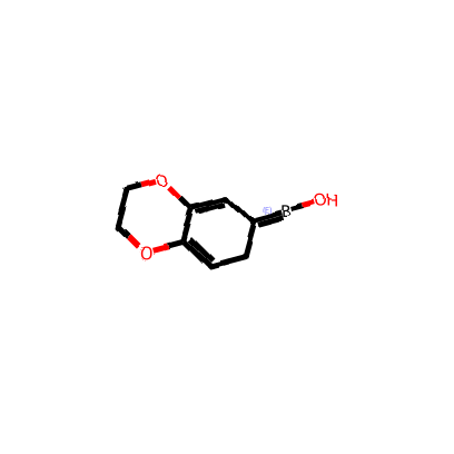 O/B=C1/C=C2OCCOC2=CC1